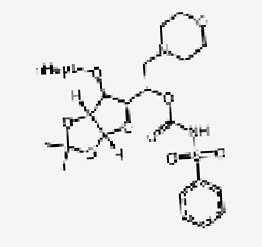 CCCCCCCO[C@@H]1[C@H]2OC(C)(C)O[C@H]2O[C@@H]1[C@@H](CN1CCOCC1)OC(=O)NS(=O)(=O)c1ccccc1